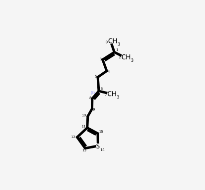 CC(C)=CCC/C(C)=C/CCc1ccsc1